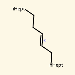 [CH2]CCCCCCCC/C=C/CCCCCCCC